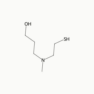 CN(CCS)CCCO